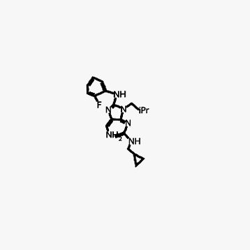 C=C(/N=C1\C(=C/N)N=C(Nc2ccccc2F)N1CC(C)C)NCC1CC1